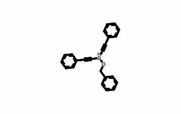 C(#C[SiH](C#Cc1ccccc1)OCc1ccccc1)c1ccccc1